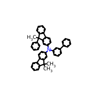 CC1(C)c2ccccc2-c2ccc(N(c3cccc(-c4ccccc4)c3)c3ccc4c(c3)C(C)(c3ccccc3)c3ccccc3-4)cc21